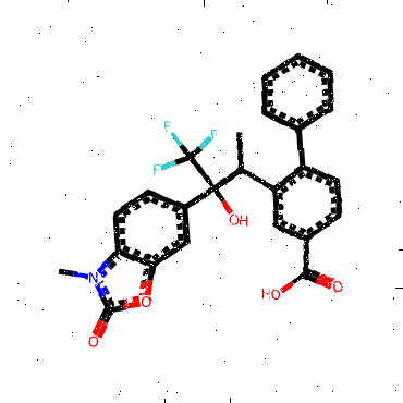 CC(c1cc(C(=O)O)ccc1-c1ccccc1)C(O)(c1ccc2c(c1)oc(=O)n2C)C(F)(F)F